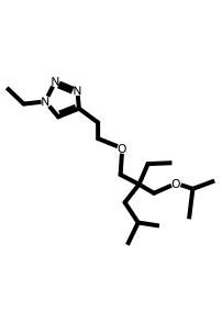 CCn1cc(CCOCC(CC)(COC(C)C)CC(C)C)nn1